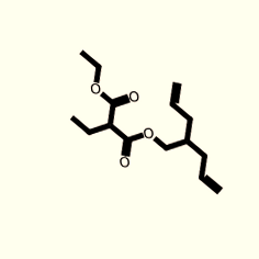 C=CCC(CC=C)COC(=O)C(CC)C(=O)OCC